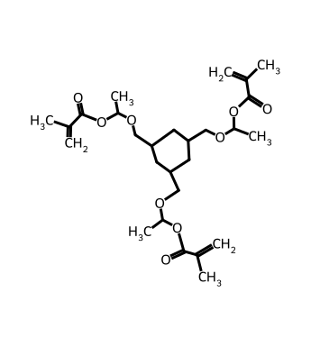 C=C(C)C(=O)OC(C)OCC1CC(COC(C)OC(=O)C(=C)C)CC(COC(C)OC(=O)C(=C)C)C1